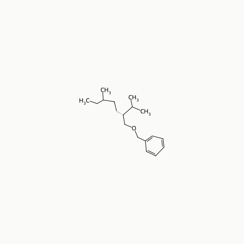 CCC(C)CC[C@@H](COCc1ccccc1)C(C)C